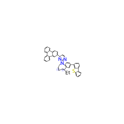 CC/C1=C\C=C/CN(c2nccc(-c3ccc4c5ccccc5c5ccccc5c4c3)n2)c2ccc(-c3cccc4c3sc3ccccc34)cc21